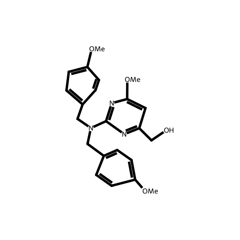 COc1ccc(CN(Cc2ccc(OC)cc2)c2nc(CO)cc(OC)n2)cc1